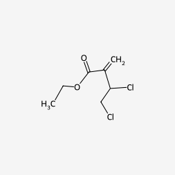 C=C(C(=O)OCC)C(Cl)CCl